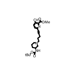 COC(=O)c1nc(C#CCCCN2CCCC(NC(=O)OC(C)(C)C)C2)ccc1C